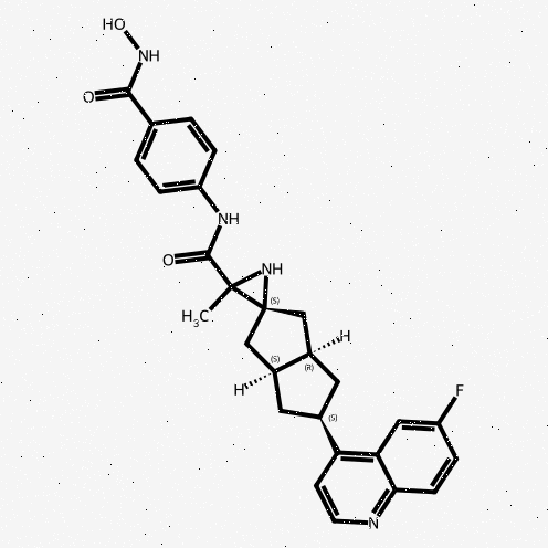 CC1(C(=O)Nc2ccc(C(=O)NO)cc2)N[C@@]12C[C@H]1C[C@@H](c3ccnc4ccc(F)cc34)C[C@H]1C2